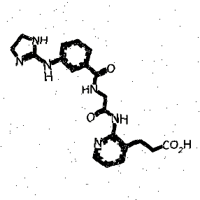 O=C(O)CCc1cccnc1NC(=O)CNC(=O)c1cccc(NC2=NCCN2)c1